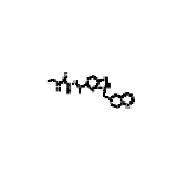 CCNC(=S)N/N=C(\C)c1ccc2nnn(Cc3ccc4ncccc4c3)c2n1